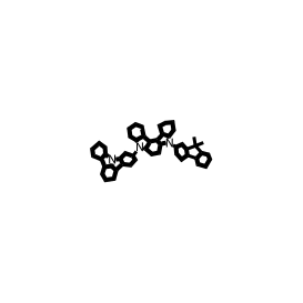 CC1(C)c2ccccc2-c2ccc(-n3c4ccccc4c4c5c6ccccc6n(-c6ccc7c8cccc9c%10ccccc%10n(c7c6)c98)c5ccc43)cc21